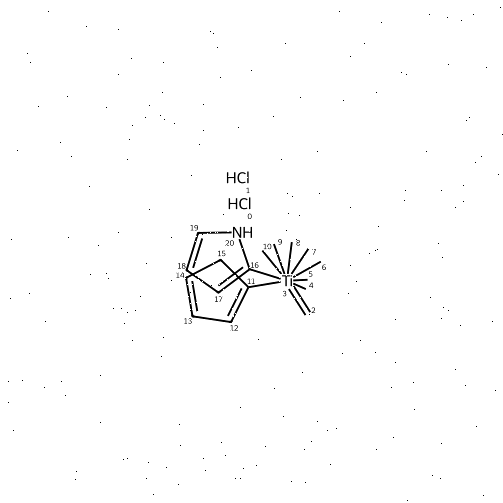 Cl.Cl.[CH2]=[Ti]([CH3])([CH3])([CH3])([CH3])([CH3])([CH3])([CH3])([C]1=CC=CC1)[c]1ccc[nH]1